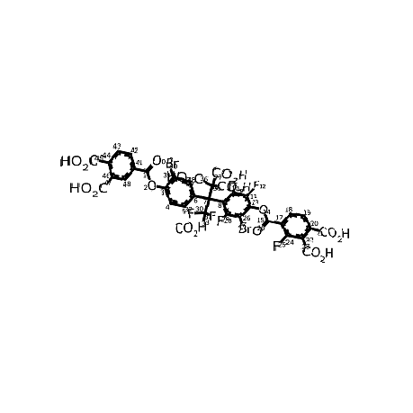 O=C(Oc1ccc(C(c2c(F)c(F)c(OC(=O)c3ccc(C(=O)O)c(C(=O)O)c3F)c(Br)c2F)(C(F)(F)C(=O)O)C(C(=O)O)(C(=O)O)C(=O)O)cc1Br)c1ccc(C(=O)O)c(C(=O)O)c1